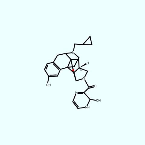 O=C(C1=NC=CNC1O)N1C[C@H]2CC34CCC1C2C31CCN(CC2CC2)C4Cc2ccc(O)cc21